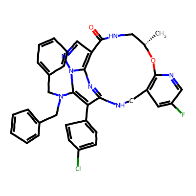 C[C@H]1CNC(=O)c2cnn3c(N(Cc4ccccc4)Cc4ccccc4)c(-c4ccc(Cl)cc4)c(nc23)NCc2cc(F)cnc2O1